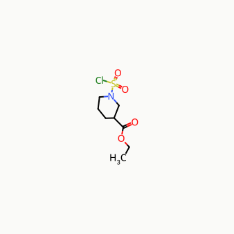 CCOC(=O)C1CCCN(S(=O)(=O)Cl)C1